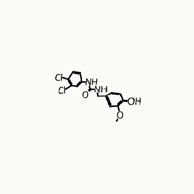 COc1cc(CNC(=O)Nc2ccc(Cl)c(Cl)c2)ccc1O